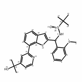 CSc1ccccc1C(N[S@@+]([O-])C(C)(C)C)c1cc2cccc(-c3cc(C(C)(C)O)ccn3)c2s1